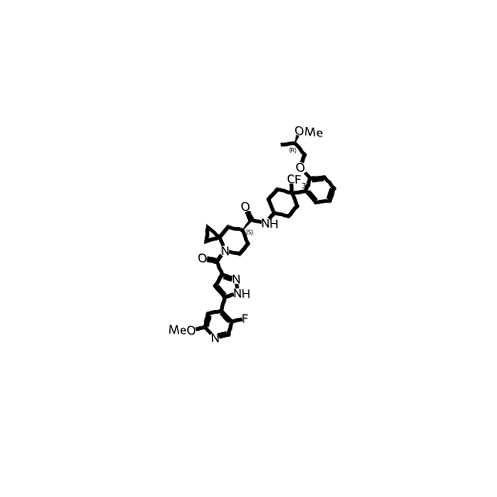 COc1cc(-c2cc(C(=O)N3CC[C@H](C(=O)NC4CCC(c5ccccc5OC[C@@H](C)OC)(C(F)(F)F)CC4)CC34CC4)n[nH]2)c(F)cn1